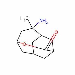 CC1(N)CC2CC3CC(CC1C3)C(=O)O2